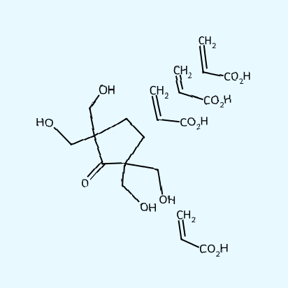 C=CC(=O)O.C=CC(=O)O.C=CC(=O)O.C=CC(=O)O.O=C1C(CO)(CO)CCC1(CO)CO